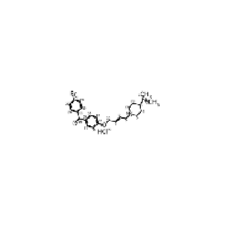 CN(C)C1CCN(CC=CCOc2ccc(C(=O)c3ccc(Br)cc3)cc2)CC1.Cl